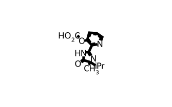 CC(C)C1(C)N=C(c2ncccc2OC(=O)O)NC1=O